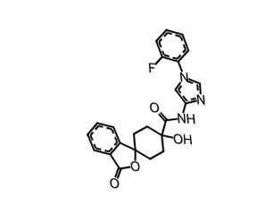 O=C1OC2(CCC(O)(C(=O)Nc3cn(-c4ccccc4F)cn3)CC2)c2ccccc21